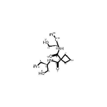 CC(C)C[C@H](CO)NC(=O)C1(C(=O)N[C@@H](CO)CC(C)C)CCC1